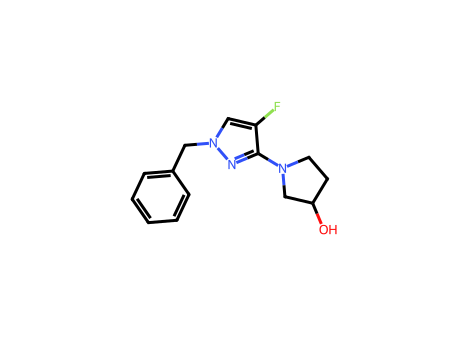 OC1CCN(c2nn(Cc3ccccc3)cc2F)C1